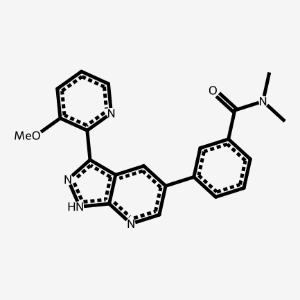 COc1cccnc1-c1n[nH]c2ncc(-c3cccc(C(=O)N(C)C)c3)cc12